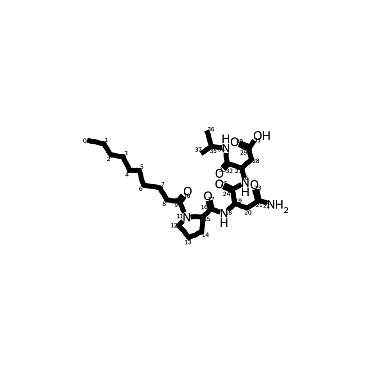 CCCCCCCCCC(=O)N1CCCC1C(=O)NC(CC(N)=O)C(=O)NC(CC(=O)O)C(=O)NC(C)C